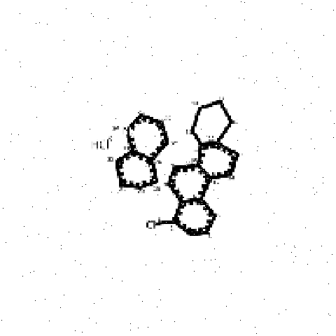 Cl.Clc1cccc2c1ccc1c3c(ccc12)CCCC3.c1ccc2ncccc2c1